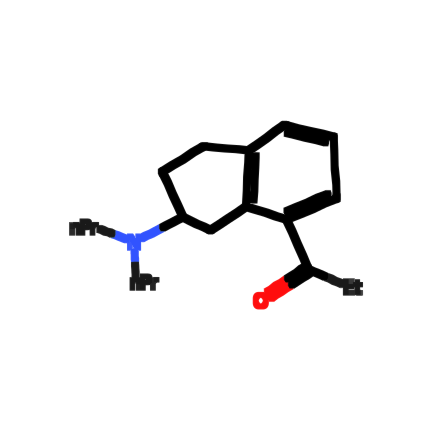 CCCN(CCC)C1CCc2cccc(C(=O)CC)c2C1